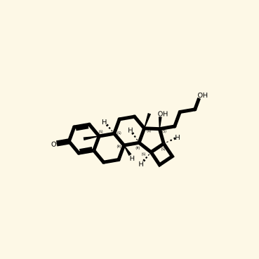 C[C@]12C=CC(=O)C=C1CC[C@H]1[C@@H]3[C@@H]4CC[C@@H]4[C@@](O)(CCCO)[C@@]3(C)CC[C@@H]12